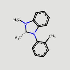 Cc1ccccc1N1c2ccccc2N(C)[C@H]1C